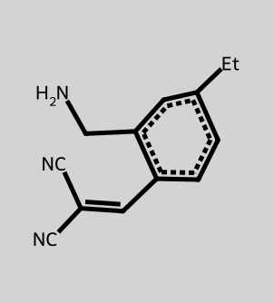 [CH2]Cc1ccc(C=C(C#N)C#N)c(CN)c1